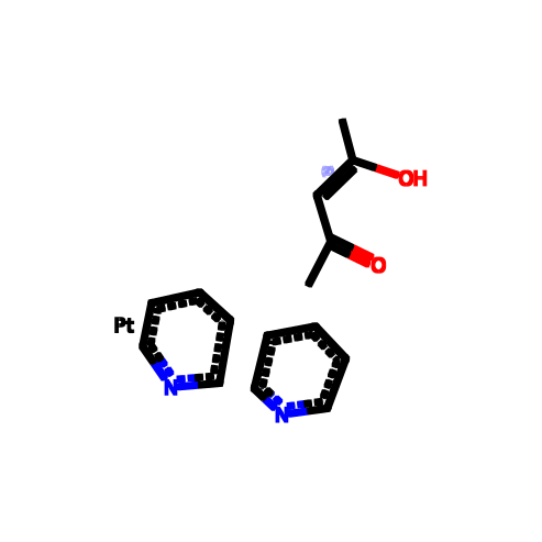 CC(=O)/C=C(/C)O.[Pt].c1ccncc1.c1ccncc1